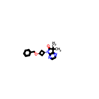 CC1(C)C(=O)N([C@H]2C[C@@H](OCc3ccccc3)C2)c2nccnc21